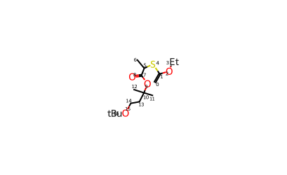 C=C(OCC)SC(C)C(=O)OC(C)(C)CCOC(C)(C)C